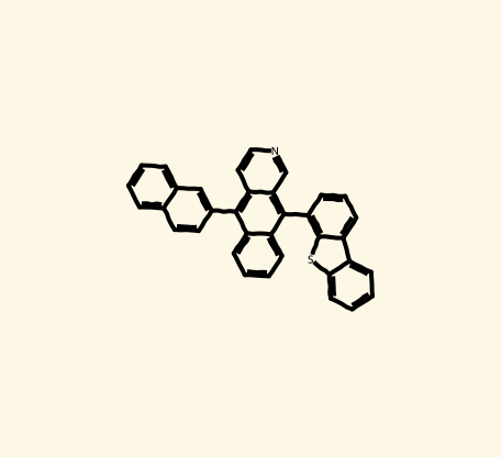 c1ccc2cc(-c3c4ccccc4c(-c4cccc5c4sc4ccccc45)c4cnccc34)ccc2c1